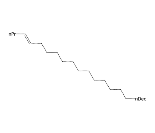 [CH2]CCC=CCCCCCCCCCCCCCCCCCCCCC[CH2]